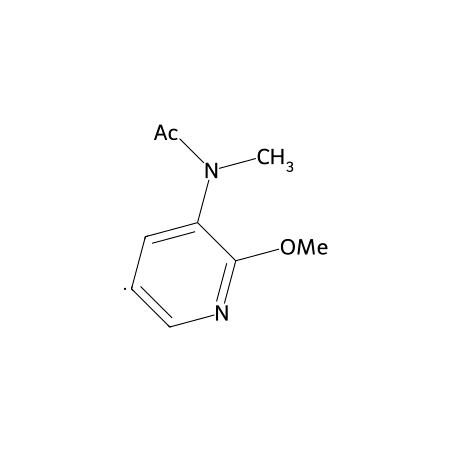 COc1nc[c]cc1N(C)C(C)=O